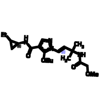 CCC1C[C@@H]1NC(=O)c1cnn(/C=C/C(C)(C)NC(=O)COC)c1OCC(C)C